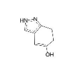 OC1=Cc2c[nH]nc2CC1